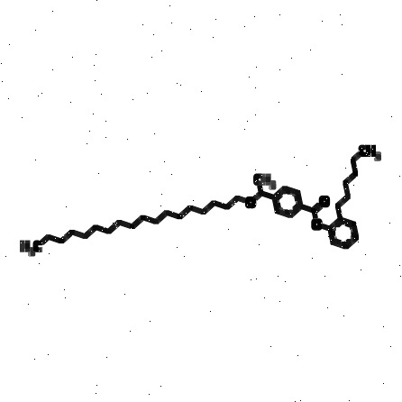 CCCCCCCCCCCCCCCCCCOC(C)c1ccc(C(=O)Oc2ccccc2CCCCCC)cc1